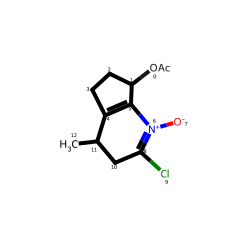 CC(=O)OC1CCC2=C1[N+]([O-])=C(Cl)CC2C